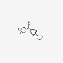 N#CC(c1cnc(N2CCCCC2)nc1)N1CCC(F)(F)CC1